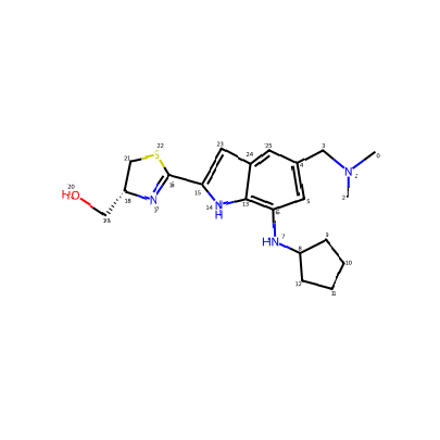 CN(C)Cc1cc(NC2CCCC2)c2[nH]c(C3=N[C@H](CO)CS3)cc2c1